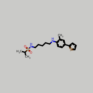 Cc1cc(-c2cccs2)ccc1NCCCCCNS(=O)(=O)C(C)C